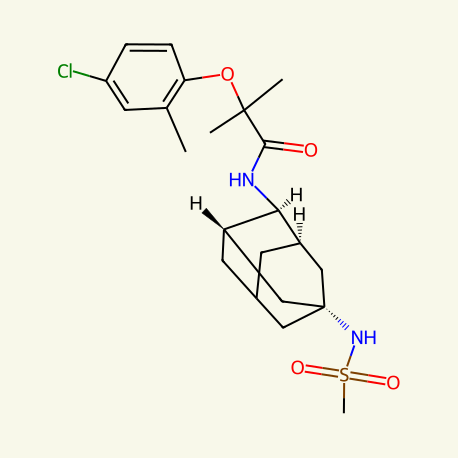 Cc1cc(Cl)ccc1OC(C)(C)C(=O)N[C@H]1[C@@H]2CC3C[C@H]1C[C@](NS(C)(=O)=O)(C3)C2